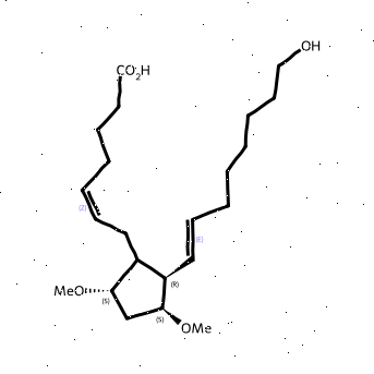 CO[C@H]1C[C@H](OC)[C@H](/C=C/CCCCCCO)C1C/C=C\CCCC(=O)O